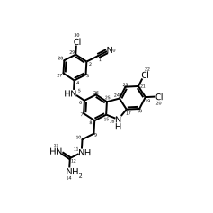 N#Cc1cc(Nc2cc(CCNC(=N)N)c3[nH]c4cc(Cl)c(Cl)cc4c3c2)ccc1Cl